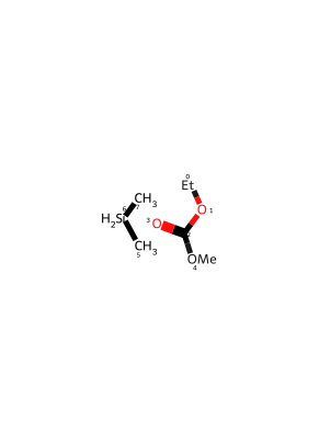 CCOC(=O)OC.C[SiH2]C